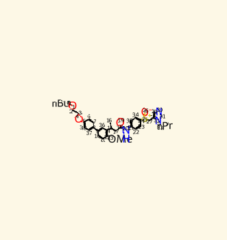 CCCCOCCOc1ccc(-c2ccc(OC)c(C(C)CC(=O)Nc3ccc([S+]([O-])Cc4cncn4CCC)cc3)c2)cc1